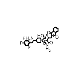 NC(=O)C(C(CN1C(=O)c2ccccc2C1=O)S(=O)(=O)O)S(=O)(=O)N1CCC([C@H](N)Cc2cc(F)c(F)cc2F)CC1